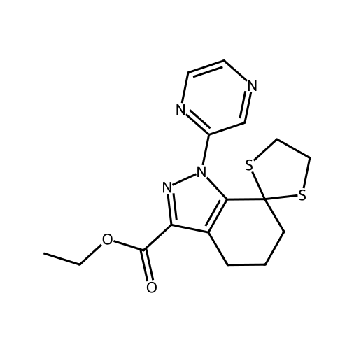 CCOC(=O)c1nn(-c2cnccn2)c2c1CCCC21SCCS1